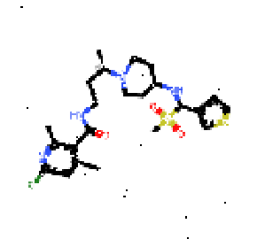 Cc1cc(Cl)nc(C)c1C(=O)NCC[C@@H](C)N1CCC(NC(c2ccsc2)S(C)(=O)=O)CC1